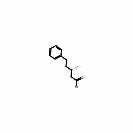 O=C(O)C[C@@H](O)CCc1cccnc1